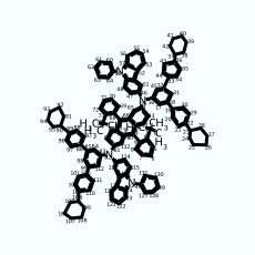 CC(C)(C)c1ccccc1-c1c2ccc(N(c3cc(-c4ccc(C5CCCCC5)cc4)cc(-c4ccc(C5CCCCC5)cc4)c3)c3ccc4c(c3)c3ccccc3n4-c3ccccc3)cc2c(-c2ccccc2C(C)(C)C)c2ccc(N(c3cc(-c4ccc(C5CCCCC5)cc4)cc(-c4ccc(C5CCCCC5)cc4)c3)c3ccc4c(c3)c3ccccc3n4-c3ccccc3)cc12